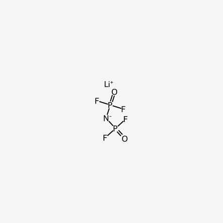 O=P(F)(F)[N-]P(=O)(F)F.[Li+]